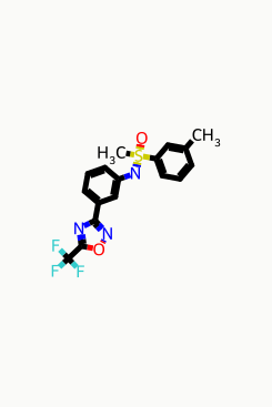 Cc1cccc(S(C)(=O)=Nc2cccc(-c3noc(C(F)(F)F)n3)c2)c1